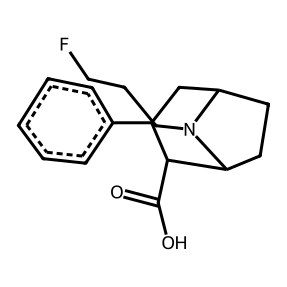 O=C(O)C1C(c2ccccc2)CC2CCC1N2CCCF